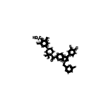 Cc1cccc(Cn2cc(-c3ccc(Cl)c(F)c3)c3ccc(C(=O)N4CCN(c5cc(C)c(C(=O)O)c(C)n5)CC4(C)C)nc32)n1